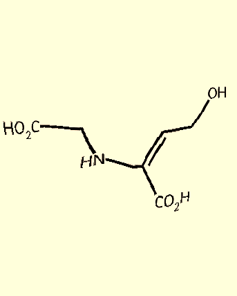 O=C(O)CNC(=CCO)C(=O)O